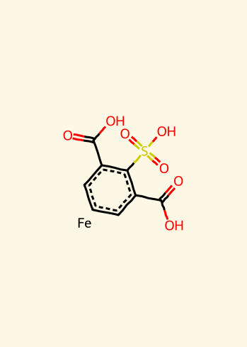 O=C(O)c1cccc(C(=O)O)c1S(=O)(=O)O.[Fe]